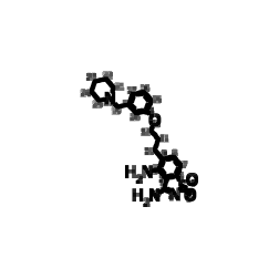 NC1=NS(=O)(=O)c2ccc(CCCOc3cccc(CN4CCCCC4)c3)c(N)c21